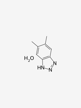 Cc1cc2nn[nH]c2cc1C.O